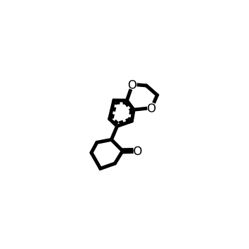 O=C1CCCCC1c1ccc2c(c1)OCCO2